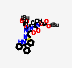 CC(C)(C)OC(=O)CON=C(C(=O)N[C@@H]1C(=O)N(OCC(=O)OC(C)(C)C)C1(C)C)c1csc(NC(c2ccccc2)(c2ccccc2)c2ccccc2)n1